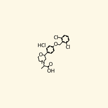 CC(C(=O)O)N1CCOC(c2ccc(OCc3c(Cl)cccc3Cl)cc2)C1.Cl